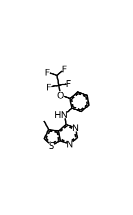 Cc1csc2ncnc(Nc3ccccc3OC(F)(F)C(F)F)c12